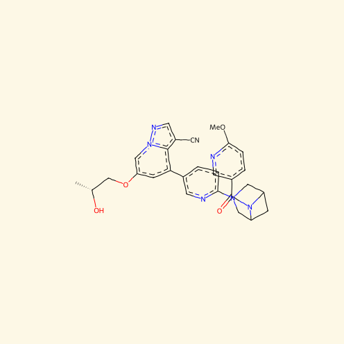 COc1ccc(C(=O)N2C3CC2CN(c2ccc(-c4cc(OC[C@@H](C)O)cn5ncc(C#N)c45)cn2)C3)cn1